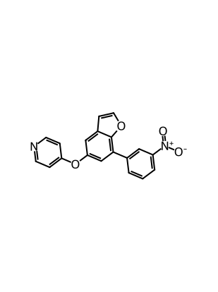 O=[N+]([O-])c1cccc(-c2cc(Oc3ccncc3)cc3ccoc23)c1